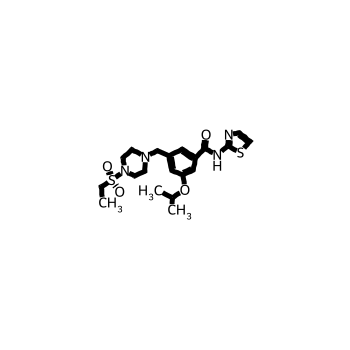 CCS(=O)(=O)N1CCN(Cc2cc(OC(C)C)cc(C(=O)Nc3nccs3)c2)CC1